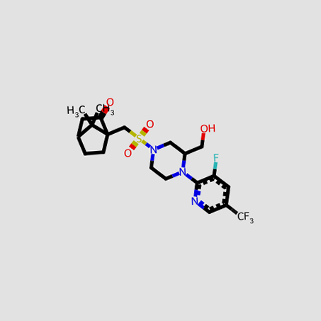 CC1(C)C2CCC1(CS(=O)(=O)N1CCN(c3ncc(C(F)(F)F)cc3F)C(CO)C1)C(=O)C2